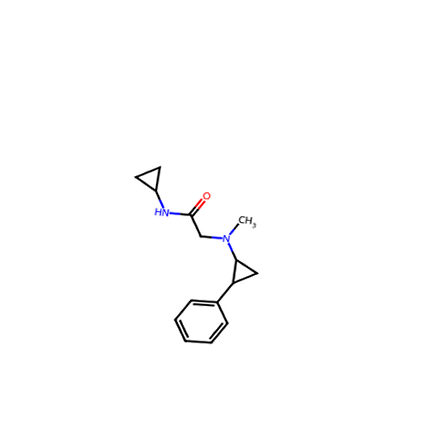 CN(CC(=O)NC1CC1)C1CC1c1ccccc1